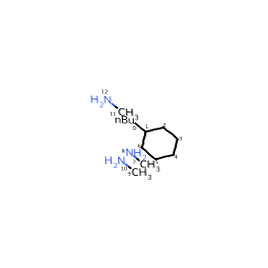 CCCCC1CCCCC1.CN.CN.CN